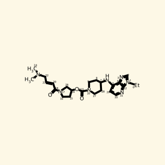 CCn1cnc2c(NC3CCN(C(=O)OC4CCN(C(=O)/C=C/CN(C)C)C4)CC3)ccnc21